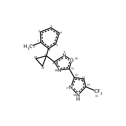 Cc1ccccc1C1(c2noc(-c3cc(C(F)(F)F)[nH]n3)n2)CC1